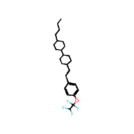 CCCCC1CCC(C2CCC(CCc3ccc(OC(F)(F)C(F)F)cc3)CC2)CC1